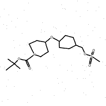 CC(C)(C)OC(=O)N1CCC(OC2CCC(COS(C)(=O)=O)CC2)CC1